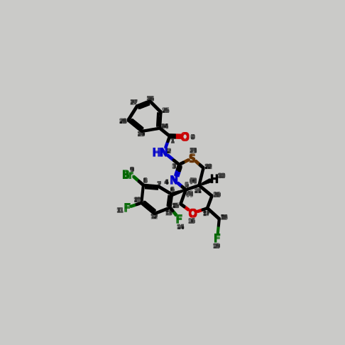 O=C(NC1=N[C@@]2(c3cc(Br)c(F)cc3F)COC(CF)C[C@H]2CS1)c1ccccc1